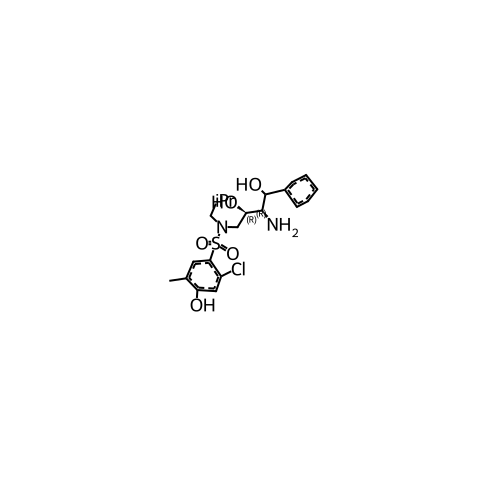 Cc1cc(S(=O)(=O)N(CC(C)C)C[C@@H](O)[C@H](N)C(O)c2ccccc2)c(Cl)cc1O